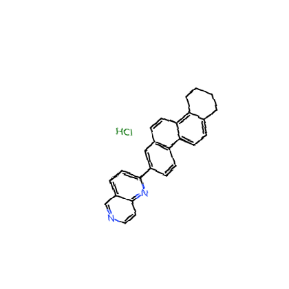 Cl.c1cc2nc(-c3ccc4c(ccc5c6c(ccc54)CCCC6)c3)ccc2cn1